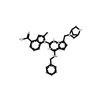 Cc1cc2c(C(N)=O)cccc2n1-c1nc(NCc2ccccc2)c2ccc(CN3CC4CC3CO4)n2n1